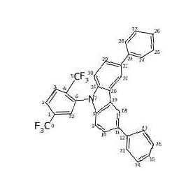 FC(F)(F)c1ccc(C(F)(F)F)c(-n2c3ccc(-c4ccccc4)cc3c3cc(-c4ccccc4)ccc32)c1